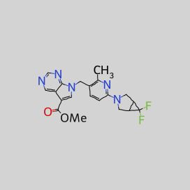 COC(=O)c1cn(Cc2ccc(N3CC4C(C3)C4(F)F)nc2C)c2ncncc12